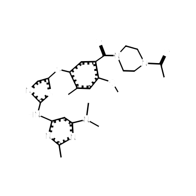 COc1cc(C)c(Sc2cnc(Nc3cc(N(C)C)nc(C)n3)s2)cc1C(=O)N1CCN(C(C)=O)CC1